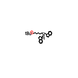 CC(C)(C)OCCCCCC[SiH](CC1C=Cc2ccccc21)CC1C=Cc2ccccc21